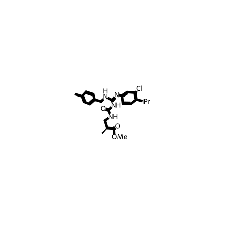 COC(=O)[C@@H](C)CNC(=O)N/C(=N\c1ccc(C(C)C)c(Cl)c1)NCc1ccc(C)cc1